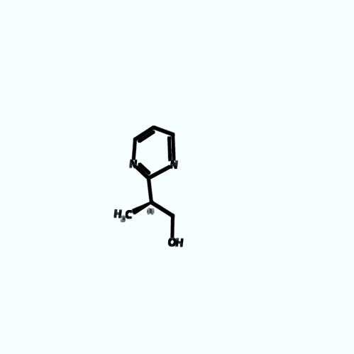 C[C@H](CO)c1ncccn1